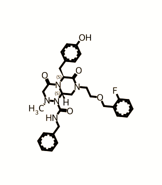 CN1CC(=O)N2[C@@H](Cc3ccc(O)cc3)C(=O)N(CCOCc3ccccc3F)C[C@@H]2N1C(=O)NCc1ccccc1